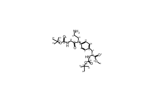 COC(=O)[C@H](Cc1ccc(N(CCN)C(=O)CNC(=O)OC(C)(C)C)cc1)NC(=O)OC(C)(C)C